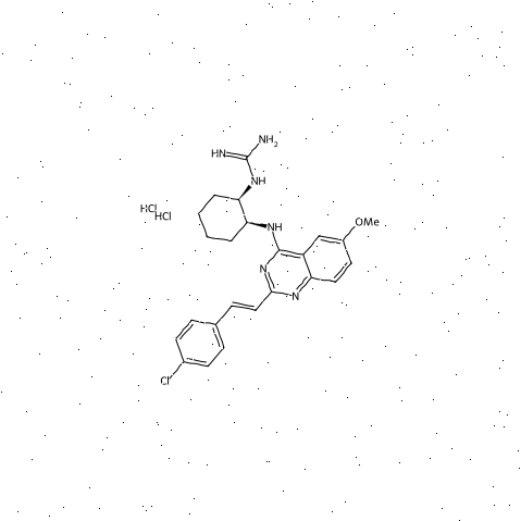 COc1ccc2nc(/C=C/c3ccc(Cl)cc3)nc(N[C@H]3CCCC[C@H]3NC(=N)N)c2c1.Cl.Cl